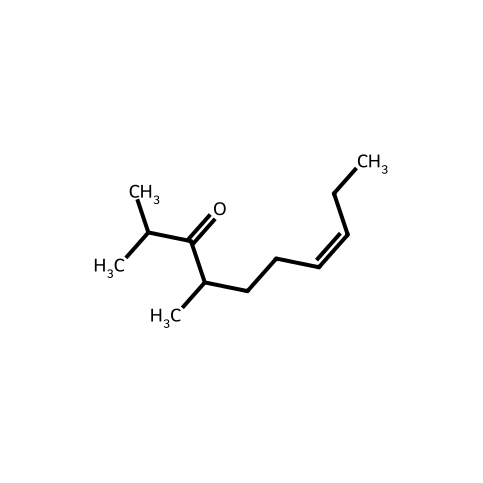 CC/C=C\CCC(C)C(=O)C(C)C